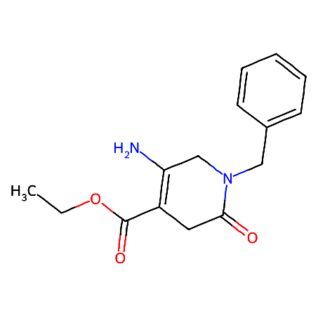 CCOC(=O)C1=C(N)CN(Cc2ccccc2)C(=O)C1